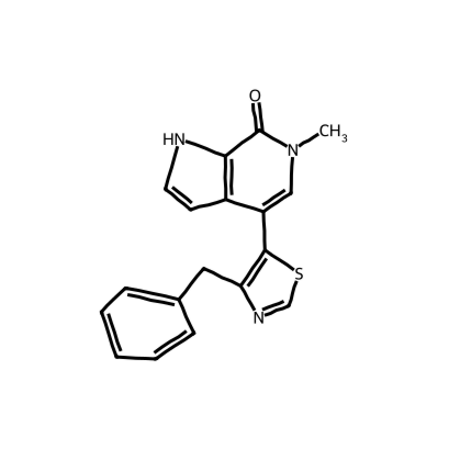 Cn1cc(-c2scnc2Cc2ccccc2)c2cc[nH]c2c1=O